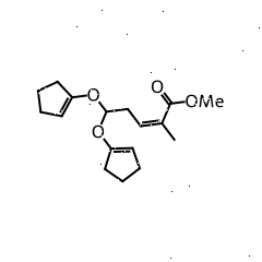 COC(=O)C(C)=CCC(OC1=CCCC1)OC1=CCCC1